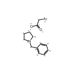 CC(=O)CC(=O)O[C@H]1CCN(Cc2ccccc2)C1